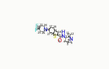 O=C(NC1C2CCN(CC2)C12CC2)c1cc2ccc(N3CCC(F)(F)CC3)cc2s1